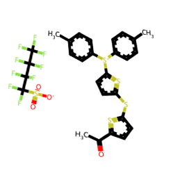 CC(=O)c1ccc(Sc2ccc([S+](c3ccc(C)cc3)c3ccc(C)cc3)s2)s1.O=S(=O)([O-])C(F)(F)C(F)(F)C(F)(F)C(F)(F)F